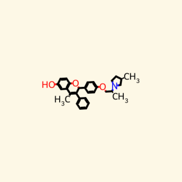 CC1=C(c2ccccc2)C(c2ccc(OC[C@H](C)N3CC[C@@H](C)C3)cc2)Oc2ccc(O)cc21